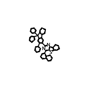 c1ccc(-c2cc3c(cc2-c2nc(-c4cccc5ccccc45)c4sc5ccccc5c4n2)-c2ccccc2C3(c2ccccc2)c2ccccc2)cc1